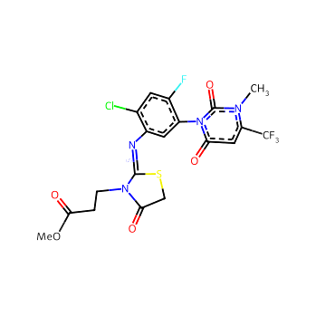 COC(=O)CCN1C(=O)CS/C1=N\c1cc(-n2c(=O)cc(C(F)(F)F)n(C)c2=O)c(F)cc1Cl